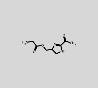 CC(=O)C1=NC(COC(=O)CN)CN1